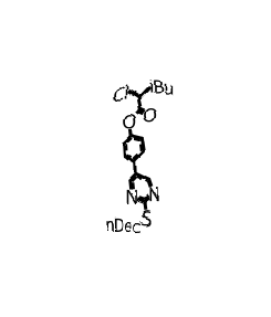 CCCCCCCCCCSc1ncc(-c2ccc(OC(=O)C(Cl)C(C)CC)cc2)cn1